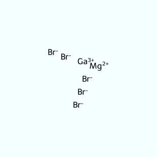 [Br-].[Br-].[Br-].[Br-].[Br-].[Ga+3].[Mg+2]